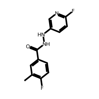 Cc1cc(C(=O)NNc2ccc(F)nc2)ccc1F